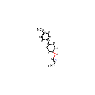 CCC/C=C/OC1CCC(c2ccc(C#N)cc2)CC1